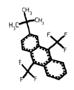 CC(C)(C)c1ccc2c(C(F)(F)F)c3ccccc3c(C(F)(F)F)c2c1